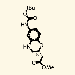 COC(=O)C[C@@H]1CNc2cc(NC(=O)OC(C)(C)C)ccc2O1